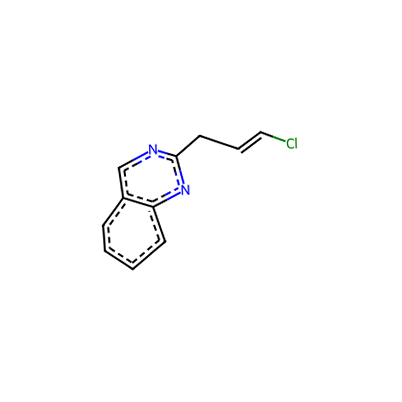 ClC=CCc1ncc2ccccc2n1